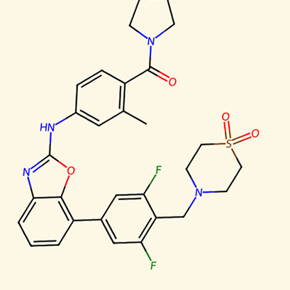 Cc1cc(Nc2nc3cccc(-c4cc(F)c(CN5CCS(=O)(=O)CC5)c(F)c4)c3o2)ccc1C(=O)N1CCCC1